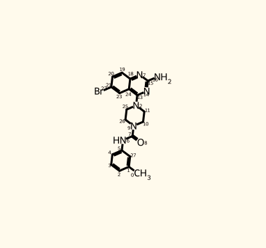 Cc1cccc(NC(=O)N2CCN(c3nc(N)nc4ccc(Br)cc34)CC2)c1